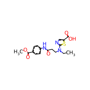 CCN(CCC(=O)Nc1ccc(C(=O)OC)cc1)c1ncc(C(=O)O)s1